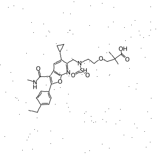 CCc1ccc(-c2oc3nc(CN(CCOCC(C)(C)C(=O)O)[SH](=O)=O)c(C4CC4)cc3c2C(=O)NC)cc1